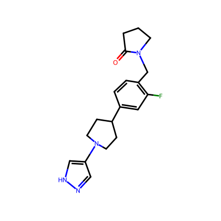 O=C1CCCN1Cc1ccc(C2CCN(c3cn[nH]c3)CC2)cc1F